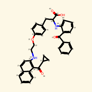 O=C(c1ccccc1)c1ccccc1NC(Cc1ccc(OCCNc2ccc3ccccc3c2C(=O)C2CC2)cc1)C(=O)O